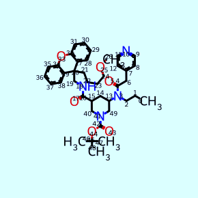 CCCN(C(=O)Cc1ccncc1)C1CC(C(=O)NCC2(CCCCOC)c3ccccc3Oc3ccccc32)CN(C(=O)OC(C)(C)C)C1